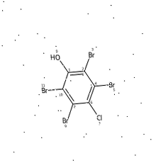 Oc1c(Br)c(Br)c(Cl)c(Br)c1Br